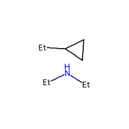 CCC1CC1.CCNCC